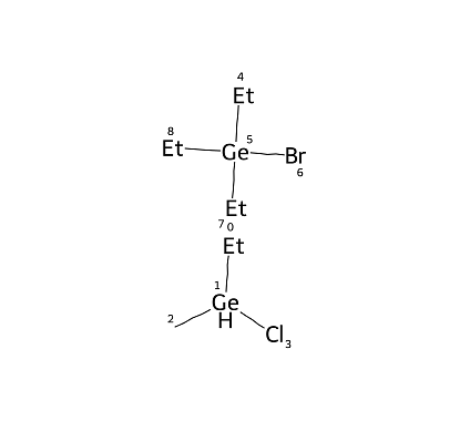 C[CH2][GeH]([CH3])[Cl].C[CH2][Ge]([Br])([CH2]C)[CH2]C